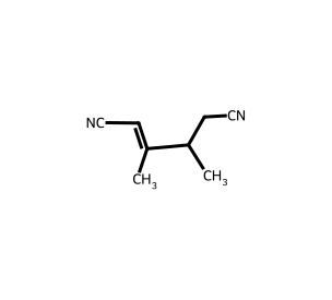 C/C(=C\C#N)C(C)CC#N